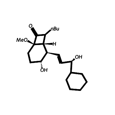 CCCCC1C(=O)[C@@]2(OC)CC[C@@H](O)[C@H](/C=C/[C@@H](O)C3CCCCC3)[C@@H]12